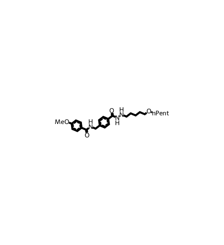 CCCCCOCCCCCNNC(=O)c1ccc(CNC(=O)c2ccc(OC)cc2)cc1